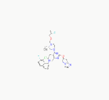 C=C(F)COCN1CCN(c2nc(OC3Cc4nccn4C3)nc3c2CCN(c2cccc4ccc(F)c(Cl)c24)C3)C[C@@H]1CC#N